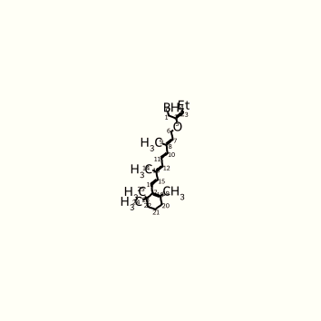 BC/C(=C\CC)OC/C=C(C)/C=C/C=C(C)/C=C/C1=C(C)CCCC1(C)C